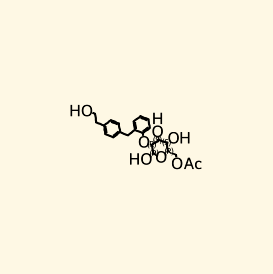 CC(=O)OC[C@H]1O[C@@H](O)[C@H](Oc2ccccc2Cc2ccc(CCO)cc2)[C@@H](O)[C@@H]1O